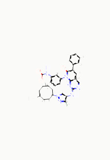 CC1CCCCC(n2cc(Nc3ncc4cc(-c5ccccc5)c(=O)n(-c5cccc(NC(=O)OC(C)(C)C)c5)c4n3)c(Cl)n2)CC1